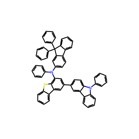 c1ccc(N(c2ccc3c(c2)C(c2ccccc2)(c2ccccc2)c2ccccc2-3)c2cc(-c3ccc4c(c3)c3ccccc3n4-c3ccccc3)cc3c2sc2ccccc23)cc1